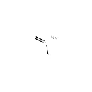 C=NO.[NaH]